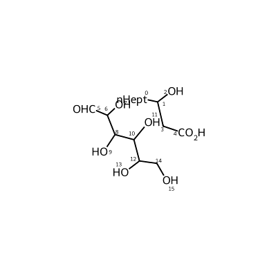 CCCCCCCC(O)CC(=O)O.O=CC(O)C(O)C(O)C(O)CO